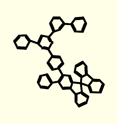 c1ccc(-c2cccc(-c3cc(-c4ccccc4)nc(-c4ccc(-c5cc6c(cc5-c5ccccc5)-c5ccccc5C65c6ccccc6-c6ccccc65)cc4)n3)c2)cc1